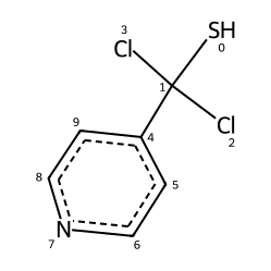 SC(Cl)(Cl)c1ccncc1